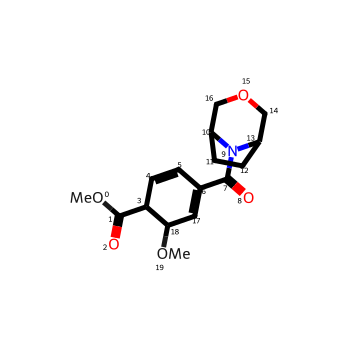 COC(=O)C1C=CC(C(=O)N2C3CCC2COC3)=CC1OC